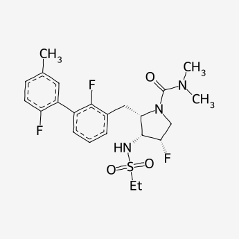 CCS(=O)(=O)N[C@H]1[C@@H](F)CN(C(=O)N(C)C)[C@H]1Cc1cccc(-c2cc(C)ccc2F)c1F